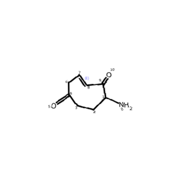 NC1CCC(=O)C/C=C/C1=O